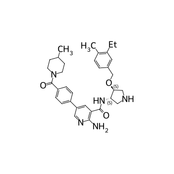 CCc1cc(CO[C@H]2CNC[C@@H]2NC(=O)c2cc(-c3ccc(C(=O)N4CCC(C)CC4)cc3)cnc2N)ccc1C